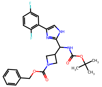 CC(C)(C)OC(=O)NC(c1nc(-c2cc(F)ccc2F)c[nH]1)C1CN(C(=O)OCc2ccccc2)C1